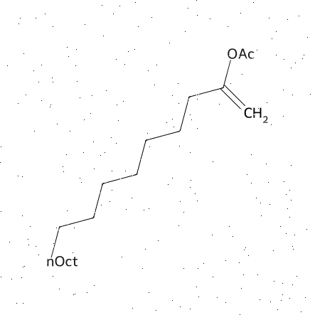 C=C(CCCCCCCCCCCCCCC)OC(C)=O